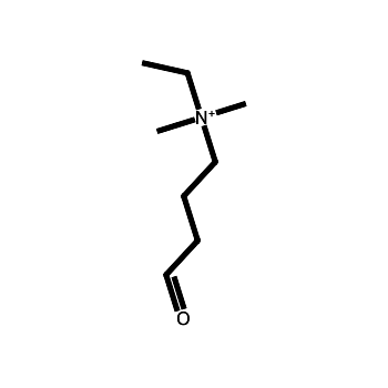 CC[N+](C)(C)CCCC=O